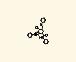 O=C(Nc1ccccc1)C1CC(/C=N/c2ccccc2)=C(Cl)C(=C/Nc2ccccc2)/C1